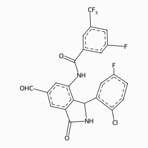 O=Cc1cc(NC(=O)c2cc(F)cc(C(F)(F)F)c2)c2c(c1)C(=O)NC2c1cc(F)ccc1Cl